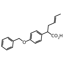 CC=CCC(C(=O)O)c1ccc(OCc2ccccc2)cc1